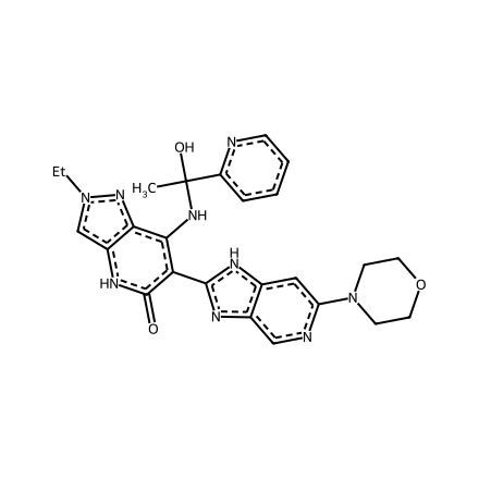 CCn1cc2[nH]c(=O)c(-c3nc4cnc(N5CCOCC5)cc4[nH]3)c(NC(C)(O)c3ccccn3)c2n1